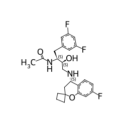 CC(=O)N[C@@H](Cc1cc(F)cc(F)c1)[C@@H](O)CN[C@H]1CC2(CCC2)Oc2cc(F)ccc21